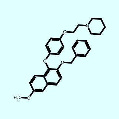 COc1ccc2c(Oc3ccc(OCCN4CCCCC4)cc3)c(OCc3ccccc3)ccc2c1